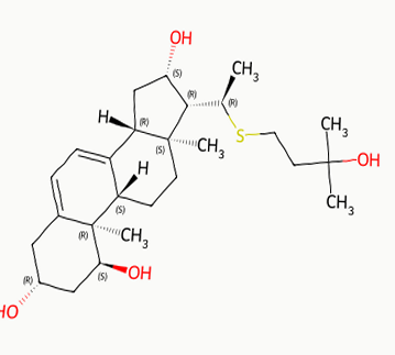 C[C@@H](SCCC(C)(C)O)[C@H]1[C@@H](O)C[C@H]2C3=CC=C4C[C@@H](O)C[C@H](O)[C@]4(C)[C@H]3CC[C@]12C